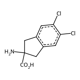 NC1(C(=O)O)Cc2cc(Cl)c(Cl)cc2C1